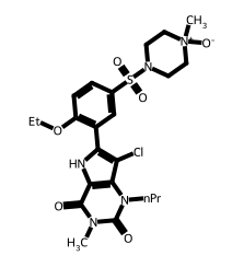 CCCn1c(=O)n(C)c(=O)c2[nH]c(-c3cc(S(=O)(=O)N4CC[N+](C)([O-])CC4)ccc3OCC)c(Cl)c21